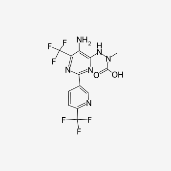 CN(Nc1nc(-c2ccc(C(F)(F)F)nc2)nc(C(F)(F)F)c1N)C(=O)O